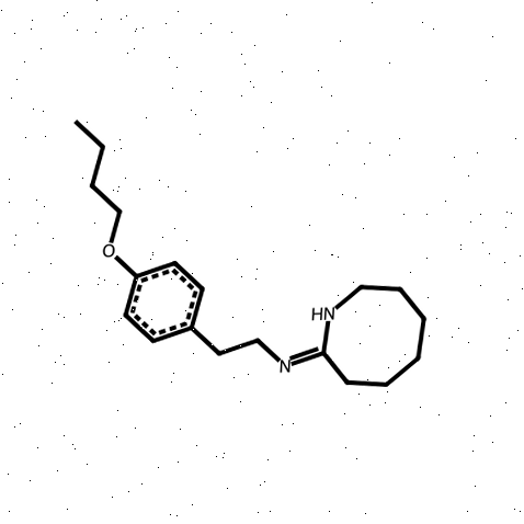 CCCCOc1ccc(CCN=C2CCCCCCN2)cc1